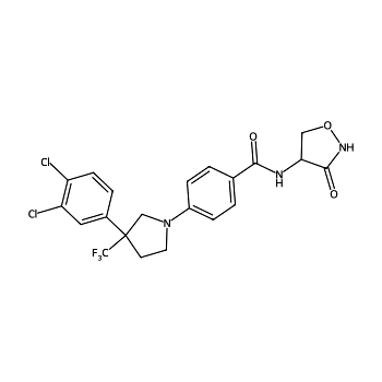 O=C(NC1CONC1=O)c1ccc(N2CCC(c3ccc(Cl)c(Cl)c3)(C(F)(F)F)C2)cc1